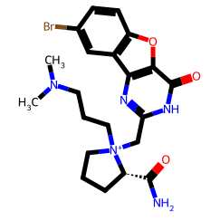 CN(C)CCC[N+]1(Cc2nc3c(oc4ccc(Br)cc43)c(=O)[nH]2)CCC[C@H]1C(N)=O